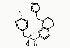 O=S(=O)(Cc1ccc(F)cc1)Nc1ccc2c(c1)N(Cc1c[nH]cn1)CCC2